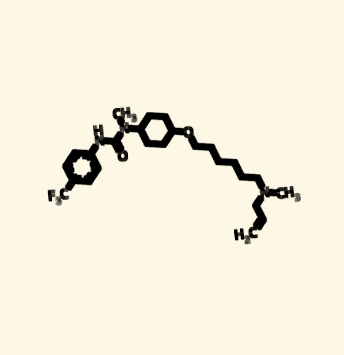 C=CCN(C)CCCCCCOC1CCC(N(C)C(=O)Nc2ccc(C(F)(F)F)cc2)CC1